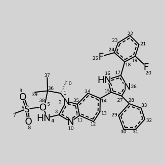 C[C@H](n1c(NOS(C)(=O)=O)nc2ccc(-c3[nH]c(-c4c(F)cccc4F)nc3-c3ccccc3)cc21)C(C)(C)C